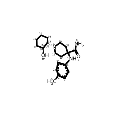 Cc1ccc(NC2(C(N)=O)CCN([C@H]3CCCC[C@@H]3O)CC2)cc1